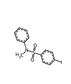 CN(c1ccccc1)S(=O)(=O)c1ccc(I)cc1